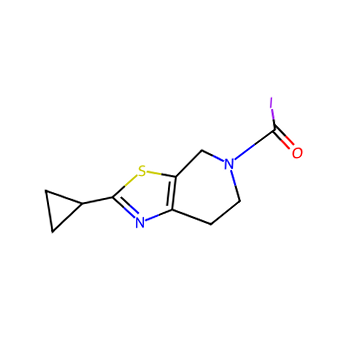 O=C(I)N1CCc2nc(C3CC3)sc2C1